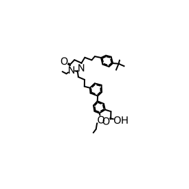 CCCOc1ccc(-c2cccc(CCCC3=NC(CCCc4ccc(C(C)(C)C)cc4)CC(=O)N3CC)c2)cc1CC(=O)O